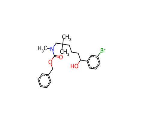 CN(CC(C)(C)CCCC(O)c1cccc(Br)c1)C(=O)OCc1ccccc1